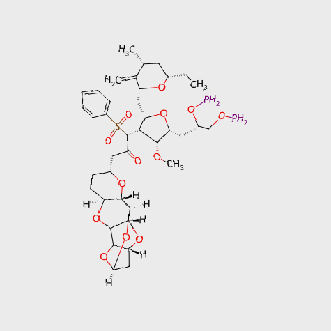 C=C1[C@H](C)C[C@H](CC)O[C@@H]1C[C@@H]1O[C@H](C[C@@H](COP)OP)[C@H](OC)C1[C@H](C(=O)C[C@H]1CC[C@@H]2OC3C4O[C@@H]5C[C@H]4O[C@H]3[C@@H](O5)[C@H]2O1)S(=O)(=O)c1ccccc1